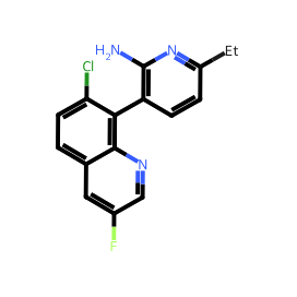 CCc1ccc(-c2c(Cl)ccc3cc(F)cnc23)c(N)n1